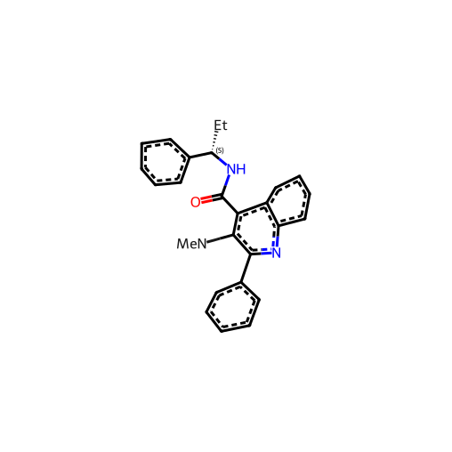 CC[C@H](NC(=O)c1c(NC)c(-c2ccccc2)nc2ccccc12)c1ccccc1